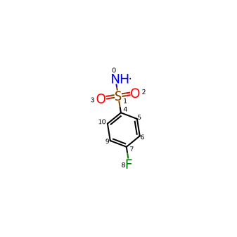 [NH]S(=O)(=O)c1ccc(F)cc1